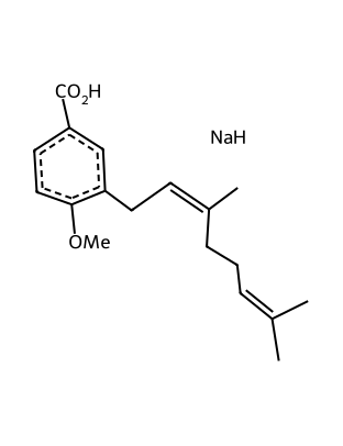 COc1ccc(C(=O)O)cc1CC=C(C)CCC=C(C)C.[NaH]